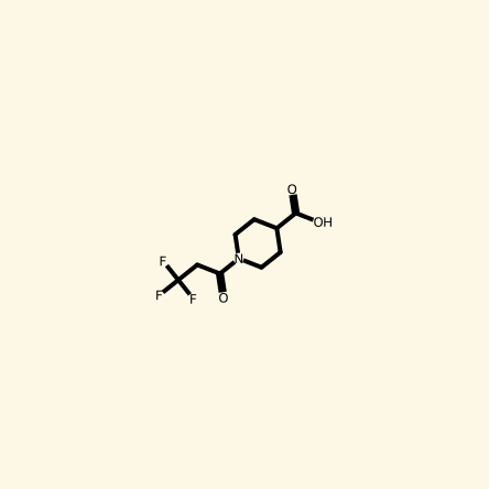 O=C(O)C1CCN(C(=O)CC(F)(F)F)CC1